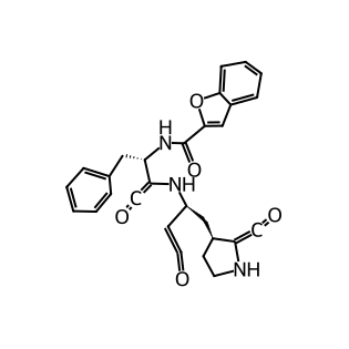 O=C=C[C@H](C[C@@H]1CCNC1=C=O)NC(=C=O)[C@H](Cc1ccccc1)NC(=O)c1cc2ccccc2o1